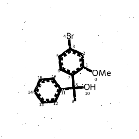 COc1cc(Br)ccc1C(C)(O)c1ccccc1